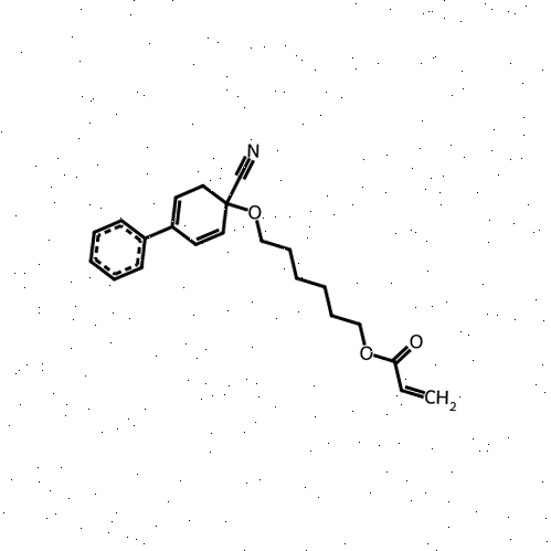 C=CC(=O)OCCCCCCOC1(C#N)C=CC(c2ccccc2)=CC1